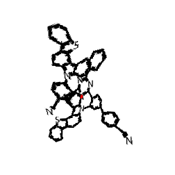 N#Cc1ccc(-c2ccc(-c3nc(-c4ccccc4)nc(-c4cc(C#N)ccc4-n4c5ccccc5c5c6sc7ccccc7c6ccc54)n3)c(-n3c4ccccc4c4c5sc6ccccc6c5ccc43)c2)cc1